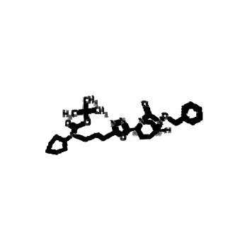 CC(C)(C)OC(=O)N(CCCc1nnc([C@@H]2CC[C@@H]3CN2C(=O)N3OCc2ccccc2)o1)C1CCCCC1